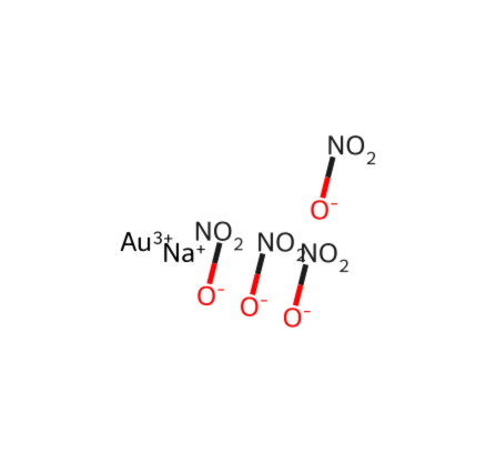 O=[N+]([O-])[O-].O=[N+]([O-])[O-].O=[N+]([O-])[O-].O=[N+]([O-])[O-].[Au+3].[Na+]